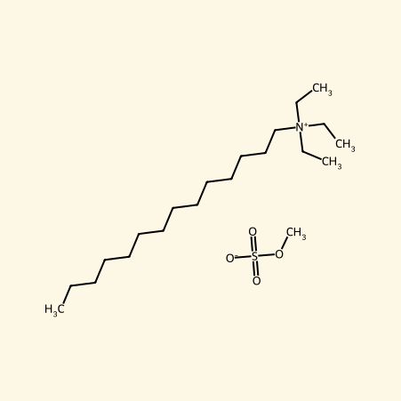 CCCCCCCCCCCCCC[N+](CC)(CC)CC.COS(=O)(=O)[O-]